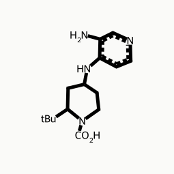 CC(C)(C)C1CC(Nc2ccncc2N)CCN1C(=O)O